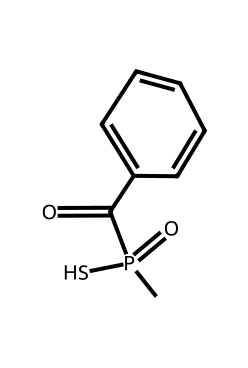 CP(=O)(S)C(=O)c1ccccc1